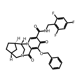 O=C(NCc1c(F)cc(F)cc1F)c1cn2c(c(OCc3ccccc3)c1=O)C(=O)N1C[C@@H]3CC[C@H](C3)[C@H]2C1